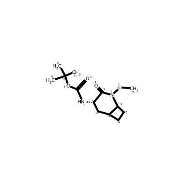 CON1C(=O)[C@@H](NC(=O)OC(C)(C)C)CC2CCC21